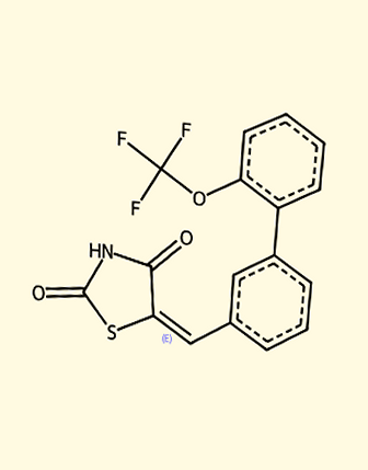 O=C1NC(=O)/C(=C\c2cccc(-c3ccccc3OC(F)(F)F)c2)S1